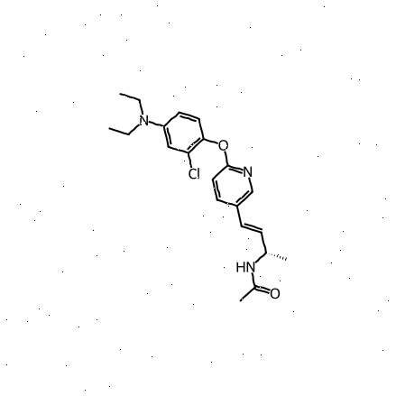 CCN(CC)c1ccc(Oc2ccc(/C=C/[C@H](C)NC(C)=O)cn2)c(Cl)c1